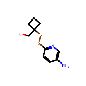 Nc1ccc(SSC2(CO)CCC2)nc1